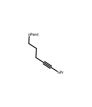 [CH2]CCC#CCCCCCCC[CH2]